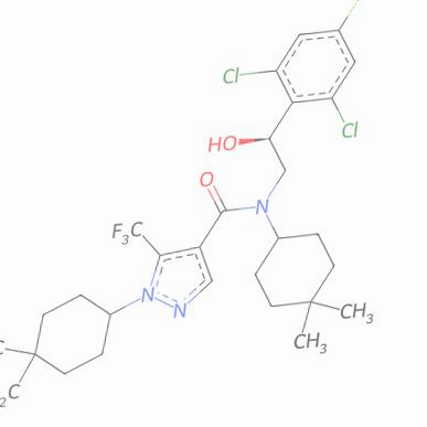 CC1(C)CCC(N(C[C@@H](O)c2c(Cl)cc(F)cc2Cl)C(=O)c2cnn(C3CCC(C)(C(=O)O)CC3)c2C(F)(F)F)CC1